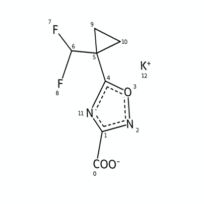 O=C([O-])c1noc(C2(C(F)F)CC2)n1.[K+]